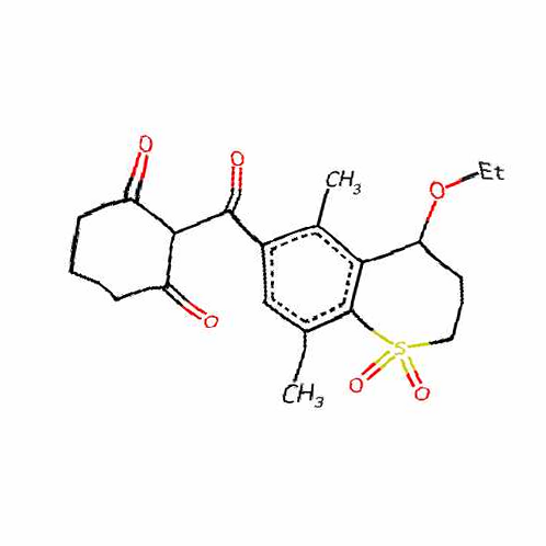 CCOC1CCS(=O)(=O)c2c(C)cc(C(=O)C3C(=O)CCCC3=O)c(C)c21